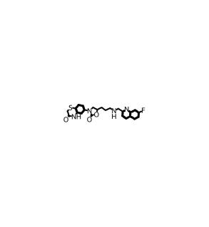 O=C1CSc2ccc(N3CC(CCCNCc4ccc5ccc(F)cc5n4)OC3=O)cc2N1